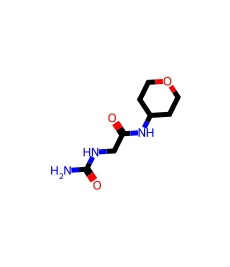 NC(=O)NCC(=O)NC1CCOCC1